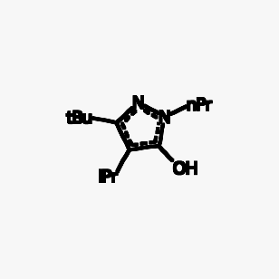 CCCn1nc(C(C)(C)C)c(C(C)C)c1O